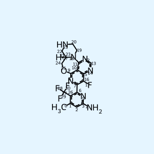 Cc1cc(N)nc(-c2nc3c4c(ncnc4c2F)N2CCNC[C@H]2CO3)c1C(F)(F)F